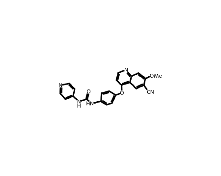 COc1cc2nccc(Oc3ccc(NC(=O)Nc4ccncc4)cc3)c2cc1C#N